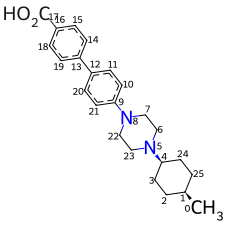 C[C@H]1CC[C@@H](N2CCN(c3ccc(-c4ccc(C(=O)O)cc4)cc3)CC2)CC1